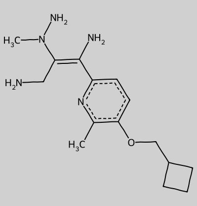 Cc1nc(/C(N)=C(\CN)N(C)N)ccc1OCC1CCC1